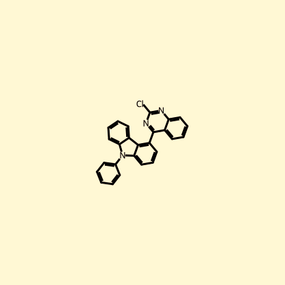 Clc1nc(-c2cccc3c2c2ccccc2n3-c2ccccc2)c2ccccc2n1